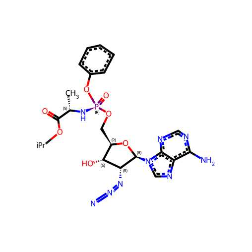 CC(C)OC(=O)[C@H](C)N[P@@](=O)(OC[C@H]1O[C@@H](n2cnc3c(N)ncnc32)[C@H](N=[N+]=[N-])[C@@H]1O)Oc1ccccc1